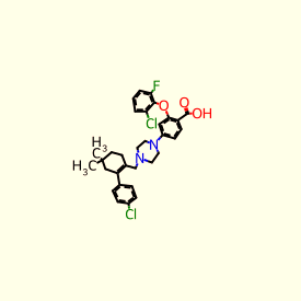 CC1(C)CCC(CN2CCN(c3ccc(C(=O)O)c(Oc4c(F)cccc4Cl)c3)CC2)=C(c2ccc(Cl)cc2)C1